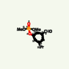 COP(=O)(OC)Oc1cc(C=O)cc(C(C)C)c1